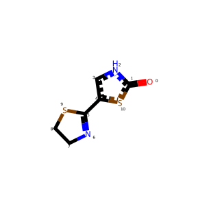 O=c1[nH][c]c(C2=NCCS2)s1